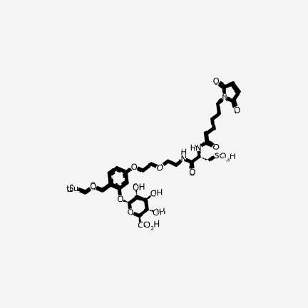 CC(C)(C)COCc1ccc(OCCOCCNC(=O)[C@@H](CS(=O)(=O)O)NC(=O)CCCCCN2C(=O)C=CC2=O)cc1O[C@@H]1O[C@H](C(=O)O)[C@@H](O)[C@H](O)[C@H]1O